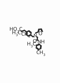 Cc1ccc(NC(=O)CN(Cc2ccc(CC(C)(C)C(=O)O)cc2)Cc2ccco2)c(C)c1